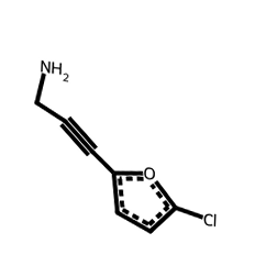 NCC#Cc1ccc(Cl)o1